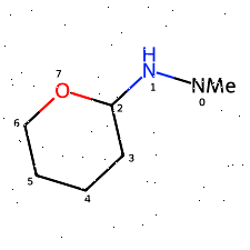 CNNC1CCCCO1